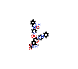 Cc1cc(CC(OC(=O)N2CCC(N3Cc4ccccc4NC3=O)CC2)C(=O)N2CCN(C3CCCCC3)CC2)cc2oc(=O)[nH]c12